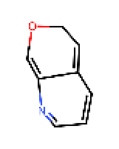 C1=c2cccnc2=COC1